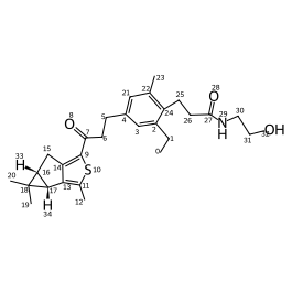 CCc1cc(CCC(=O)c2sc(C)c3c2C[C@@H]2[C@H]3C2(C)C)cc(C)c1CCC(=O)NCCO